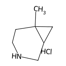 CC12CCNCC1C2.Cl